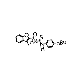 CCCCc1ccc(NC(=S)NC(=O)c2oc3ccccc3c2C)cc1